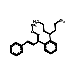 CCCN(CCC)c1ccccc1C(=[C]OC)C=Cc1ccccc1